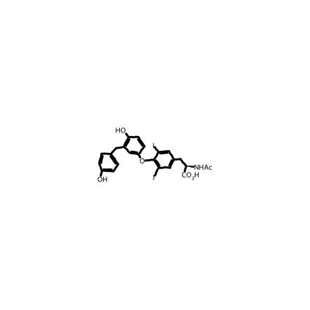 CC(=O)N[C@H](Cc1cc(I)c(Oc2ccc(O)c(Cc3ccc(O)cc3)c2)c(I)c1)C(=O)O